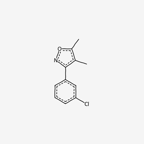 Cc1onc(-c2cccc(Cl)c2)c1C